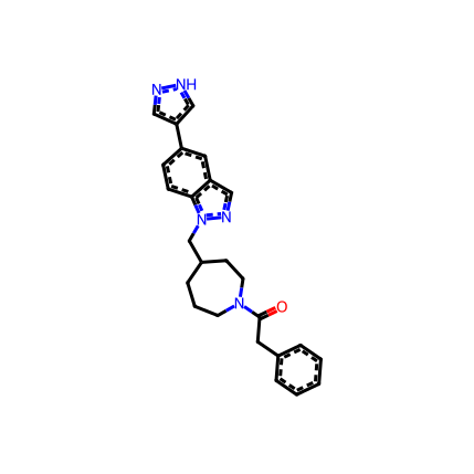 O=C(Cc1ccccc1)N1CCCC(Cn2ncc3cc(-c4cn[nH]c4)ccc32)CC1